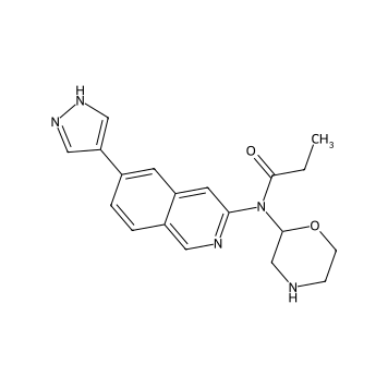 CCC(=O)N(c1cc2cc(-c3cn[nH]c3)ccc2cn1)C1CNCCO1